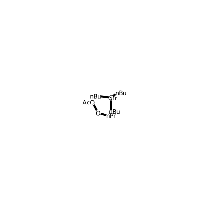 CCCOOC(C)=O.CCC[CH2][Sn]([CH2]CCC)[CH2]CCC